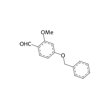 COc1cc(OCc2ccccc2)ccc1[C]=O